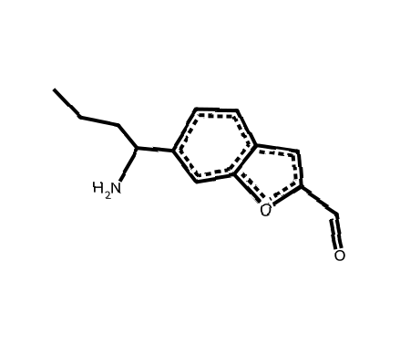 CCCC(N)c1ccc2cc(C=O)oc2c1